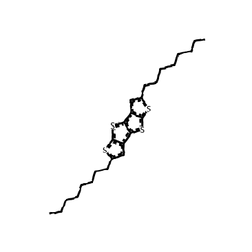 CCCCCCCCc1cc2c(s1)sc1c3cc(CCCCCCCC)sc3sc21